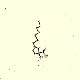 CSSOCCCN1CCC(O)(C(=O)O)C1